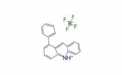 F[B-](F)(F)F.c1ccc(-c2cccc3[nH+]c4ccccc4cc23)cc1